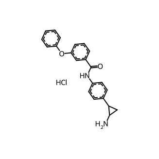 Cl.NC1CC1c1ccc(NC(=O)c2cccc(Oc3ccccc3)c2)cc1